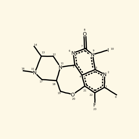 Cc1nc2c3c(nc(=O)n2I)N2CC(C)N(C)CC2COc3c1F